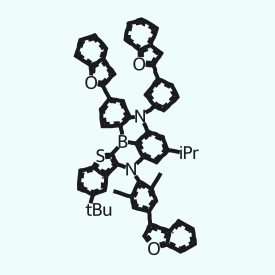 Cc1cc(-c2coc3ccccc23)cc(C)c1N1c2cc(C(C)C)cc3c2B(c2ccc(-c4cc5ccccc5o4)cc2N3c2cccc(-c3cc4ccccc4o3)c2)c2sc3ccc(C(C)(C)C)cc3c21